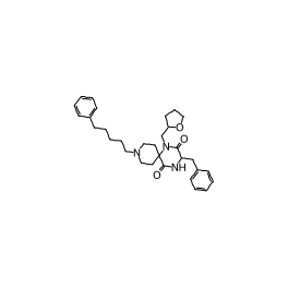 O=C1C(Cc2ccccc2)NC(=O)C2(CCN(CCCCCc3ccccc3)CC2)N1CC1CCCO1